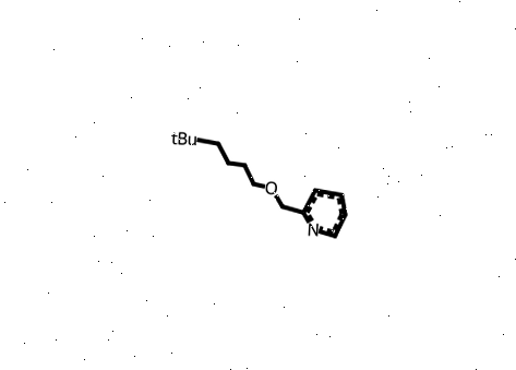 CC(C)(C)CCCCOCc1ccccn1